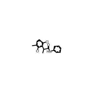 Cc1ccc(Cl)c(C(C)C(=O)Nc2ccccc2)c1Cl